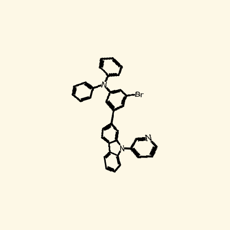 Brc1cc(-c2ccc3c4ccccc4n(-c4cccnc4)c3c2)cc(N(c2ccccc2)c2ccccc2)c1